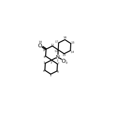 [O]N1C2(CCCCC2)CC(=O)CC12CCCCC2